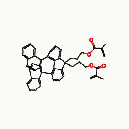 C=C(C)C(=O)OCCCC1(CCCOC(=O)C(=C)C)c2cccc(-c3cccc4ccccc34)c2-c2c(-c3cccc4ccccc34)cccc21